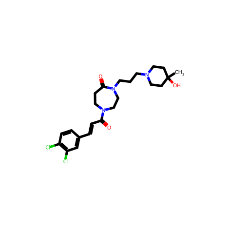 CC1(O)CCN(CCCN2CCN(C(=O)C=Cc3ccc(Cl)c(Cl)c3)CCC2=O)CC1